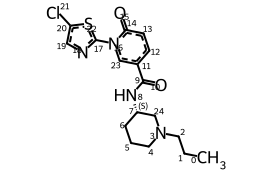 CCCN1CCC[C@H](NC(=O)c2ccc(=O)n(-c3ncc(Cl)s3)c2)C1